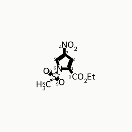 CCOC(=O)c1cc([N+](=O)[O-])cn1S(C)(=O)=O